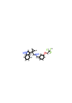 FC(F)(F)COc1cccc(CNCC2(c3c[nH]c4ccccc34)CC2)c1